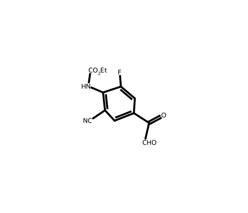 CCOC(=O)Nc1c(F)cc(C(=O)C=O)cc1C#N